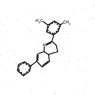 Cc1cc(C)cc(C2=NC3C=C(c4ccccc4)C=CC3CC2)c1